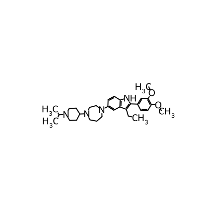 CCc1c(-c2ccc(OC)c(OC)c2)[nH]c2ccc(N3CCCN(C4CCN(C(C)C)CC4)CC3)cc12